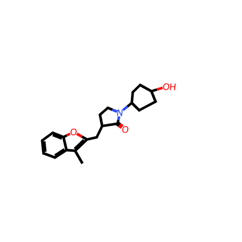 Cc1c(CC2CCN(C3CCC(O)CC3)C2=O)oc2ccccc12